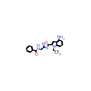 Nc1cccc2c1cc(-c1nc(CNC(=O)c3ccccc3)no1)n2CC(F)(F)F